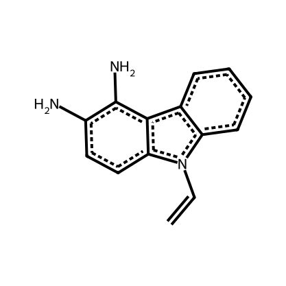 C=Cn1c2ccccc2c2c(N)c(N)ccc21